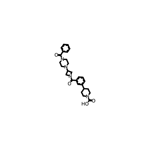 O=C(O)N1CCC(c2cccc(C(=O)N3CC(N4CCN(C(=O)c5ccccc5)CC4)C3)c2)CC1